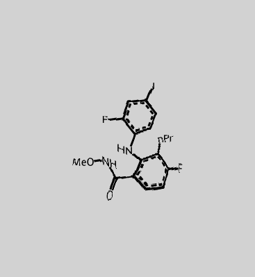 CCCc1c(F)ccc(C(=O)NOC)c1Nc1ccc(I)cc1F